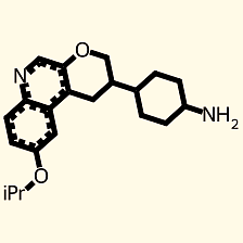 CC(C)Oc1ccc2ncc3c(c2c1)CC(C1CCC(N)CC1)CO3